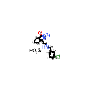 CS(=O)(=O)O.O=c1[nH]nc(CCNCc2cccc(Cl)c2)c2c1CCCC2